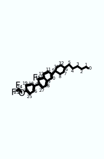 CCCCCCC1CCC(c2ccc3c(F)c(-c4ccc(OC(F)F)cc4)ccc3c2)CC1